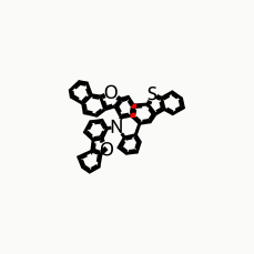 c1ccc(N(c2cccc3c2oc2ccccc23)c2cccc3oc4c5ccccc5ccc4c23)c(-c2ccc3sc4ccccc4c3c2)c1